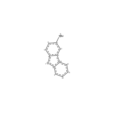 CC(C)(C)c1[c]c2c(cc1)oc1ccccc12